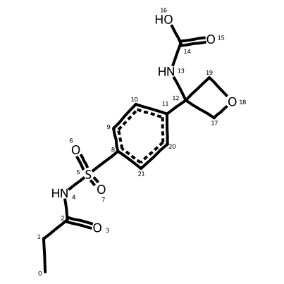 CCC(=O)NS(=O)(=O)c1ccc(C2(NC(=O)O)COC2)cc1